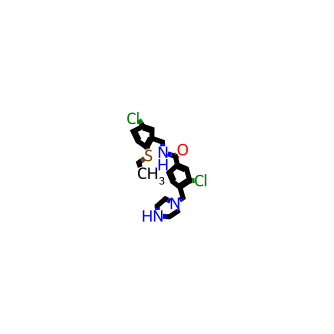 CCSc1ccc(Cl)cc1CNC(=O)c1ccc(CN2CCNCC2)c(Cl)c1